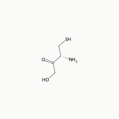 N[C@@H](CS)C(=O)CO